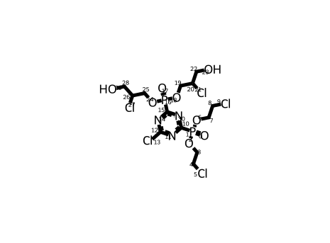 O=P(OCCCl)(OCCCl)c1nc(Cl)nc(P(=O)(OCC(Cl)CO)OCC(Cl)CO)n1